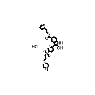 CN1CCN(C=CCS(=O)(=O)c2ccc(-c3c(O)[nH]c4ccc(C(=O)NCCc5cccs5)cc34)nc2)CC1.Cl